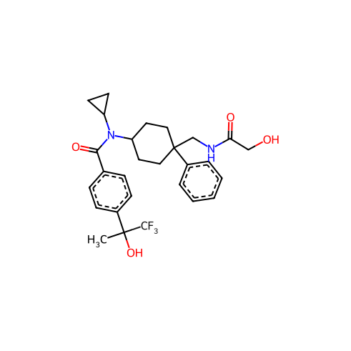 CC(O)(c1ccc(C(=O)N(C2CC2)C2CCC(CNC(=O)CO)(c3ccccc3)CC2)cc1)C(F)(F)F